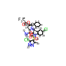 COc1ccccc1C1(N2C[C@H](OC(=O)C(F)(F)F)C[C@H]2C(=O)N(C)C)C(=O)N(S(=O)(=O)c2c(C)nn(C)c2Cl)c2ccc(Cl)cc21